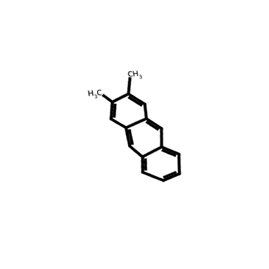 Cc1cc2cc3ccccc3cc2cc1C